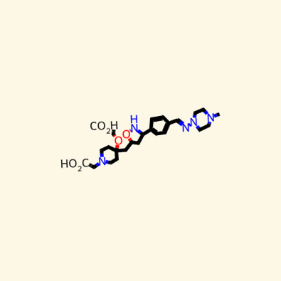 CN1CCN(N=Cc2ccc(C3CC(CC4(OCC(=O)O)CCN(CC(=O)O)CC4)ON3)cc2)CC1